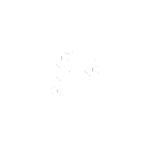 CCc1cccc(CNC[C@@H](OC(=O)CCCC(=O)Nc2cccc(C(C)=O)c2)[C@@H](N)Cc2cc(F)cc(F)c2)c1